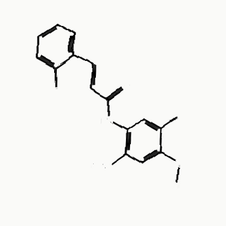 CCCCOc1cc(NC(C)=O)c(NC(=O)C=Cc2ccccc2Cl)cc1C(=O)O